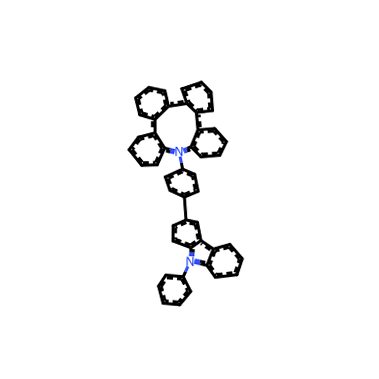 c1ccc(-n2c3ccccc3c3cc(-c4ccc(-n5c6ccccc6c6ccccc6c6ccccc6c6ccccc65)cc4)ccc32)cc1